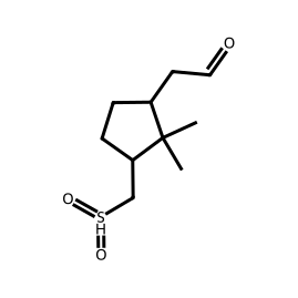 CC1(C)C(CC=O)CCC1C[SH](=O)=O